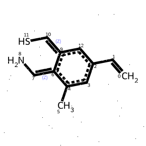 C=Cc1cc(C)c(=C/N)/c(=C\S)c1